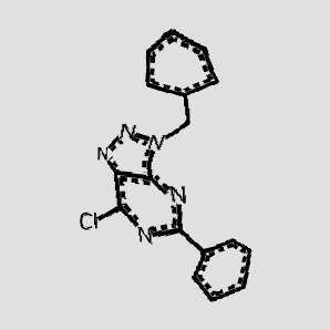 Clc1nc(-c2ccccc2)nc2c1nnn2Cc1ccccc1